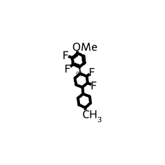 COc1ccc([C@@H]2CCC(C3CCC(C)CC3)C(F)C2F)c(F)c1F